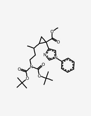 COC(=O)C1(c2cn(-c3ccccc3)cn2)CC1C(C)CCN(C(=O)OC(C)(C)C)C(=O)OC(C)(C)C